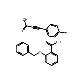 O=C(O)C#Cc1ccc(Cl)cc1.O=C(O)c1ccccc1OCc1ccccc1